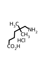 CC(C)(CN)CCCC(=O)O.Cl